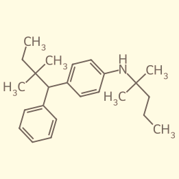 CCCC(C)(C)Nc1ccc(C(c2ccccc2)C(C)(C)CC)cc1